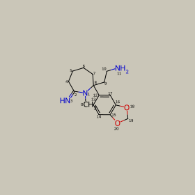 CN1C(=N)CCCCC1(CCN)c1ccc2c(c1)OCO2